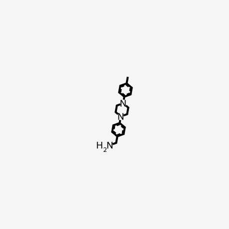 Cc1ccc(N2CCN(c3ccc(CN)cc3)CC2)cc1